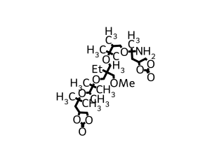 CCC(COC)(COC(C)(C)C(C)COC(C)(N)CC1COC(=O)O1)COC(C)(C)C(C)OC(C)(C)CC1COC(=O)O1